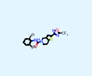 CC(C)c1cccc(C(C)C)c1NC(=O)N1CCc2sc(-c3noc(C(F)(F)F)n3)cc2C1